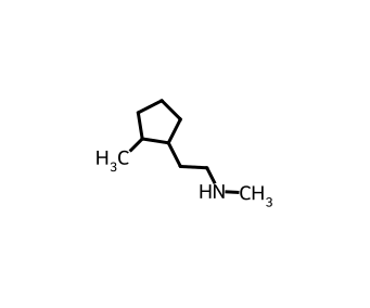 CNCCC1CCCC1C